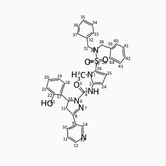 Cn1c(NC(=O)N2N=C(c3cccnc3)CC2c2ccccc2O)ccc1S(=O)(=O)N(Cc1ccccc1)Cc1ccccc1